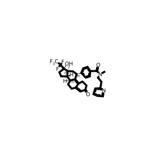 CN(CCc1ccccn1)C(=O)c1ccc([C@H]2C[C@@]3(C)[C@@H](CC[C@@]3(O)C(F)(F)C(F)(F)F)[C@@H]3CCC4=CC(=O)CCC4=C32)cc1